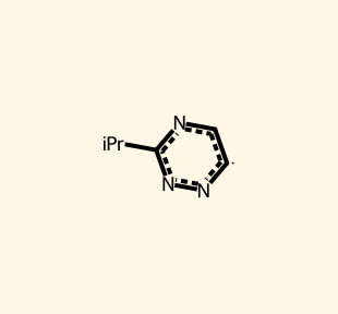 CC(C)c1nc[c]nn1